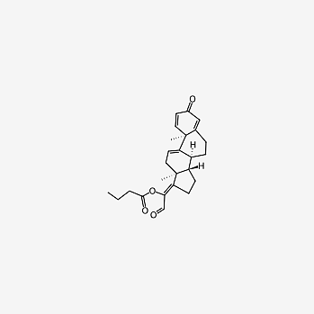 CCCC(=O)O/C(C=O)=C1/CC[C@H]2[C@@H]3CCC4=CC(=O)C=C[C@]4(C)C3=CC[C@]12C